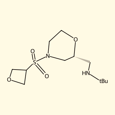 CC(C)(C)NC[C@@H]1CN(S(=O)(=O)C2COC2)CCO1